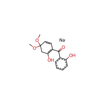 COC1(OC)C=CC(C(=O)c2ccccc2O)=C(O)C1.[Na]